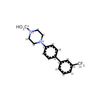 O=C(O)N1CCN(c2ccc(-c3cccc(C(F)(F)F)c3)cc2)CC1